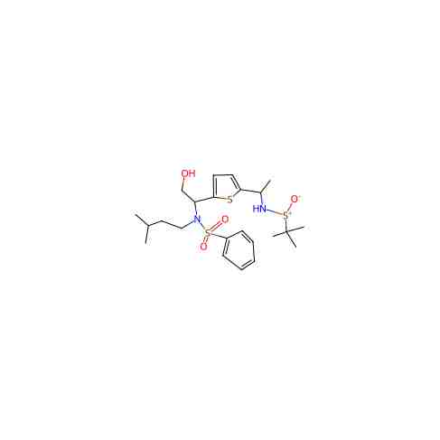 CC(C)CCN(C(CO)c1ccc(C(C)N[S+]([O-])C(C)(C)C)s1)S(=O)(=O)c1ccccc1